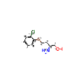 N[C@H](CO)CCSc1ccccc1Cl